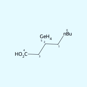 CCCCCCCC(=O)O.[GeH4]